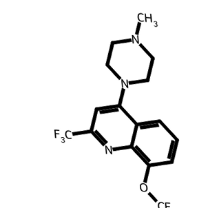 CN1CCN(c2cc(C(F)(F)F)nc3c(OC(F)(F)F)cccc23)CC1